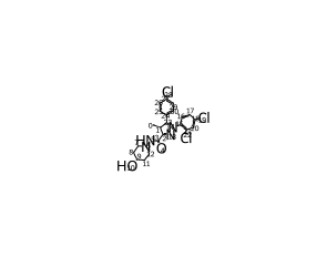 C[C@@H]1C(C(=O)NN2CCC(O)CC2)=NN(c2ccc(Cl)cc2Cl)[C@@H]1c1ccc(Cl)cc1